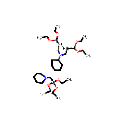 CCOC(OCC)[SiH2]CN(C[SiH2]C(OCC)OCC)C1CCCCC1.CCO[Si](CN1CCCCC1)(OCC)OCC